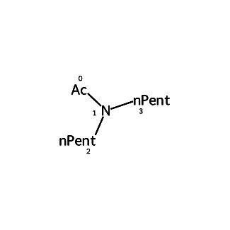 [CH2]C(=O)N(CCCCC)CCCCC